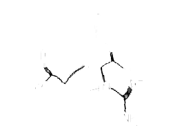 N=C(N)N[C@H](CCC(=O)[O-])C(=O)[O-].[K+].[K+]